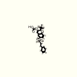 O=C(O)OC1=Cc2cc(S(=O)(=O)NCCc3ccccc3)ccc2OC1C(F)(F)F